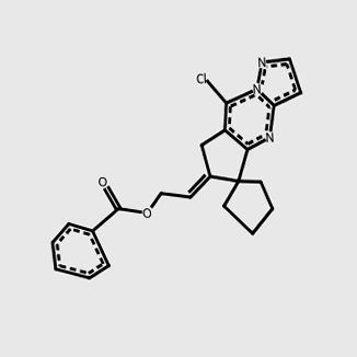 O=C(OC/C=C1\Cc2c(nc3ccnn3c2Cl)C12CCCC2)c1ccccc1